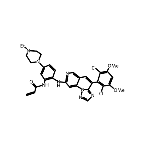 C=CC(=O)Nc1cc(N2CCN(CC)CC2)ccc1Nc1cc2c(cn1)cc(-c1c(Cl)c(OC)cc(OC)c1Cl)c1ncnn12